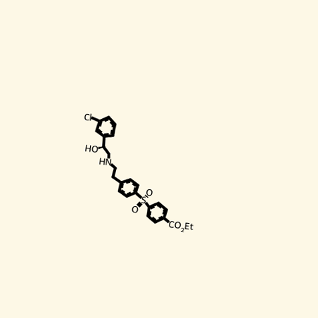 CCOC(=O)c1ccc(S(=O)(=O)c2ccc(CCNC[C@@H](O)c3cccc(Cl)c3)cc2)cc1